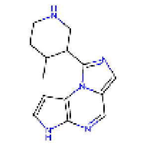 CC1CCNCC1c1ncc2cnc3[nH]ccc3n12